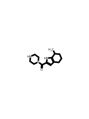 CC1CCCc2cc(C(=O)N3CCNCC3)[nH]c21